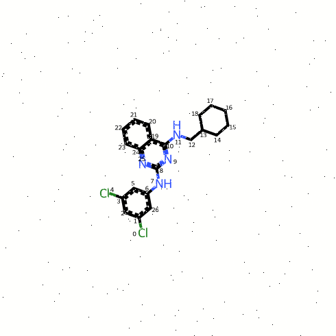 Clc1cc(Cl)cc(Nc2nc(NCC3CCCCC3)c3ccccc3n2)c1